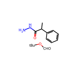 CC(C(=O)NN)c1ccccc1.CC(C)(C)OC=O